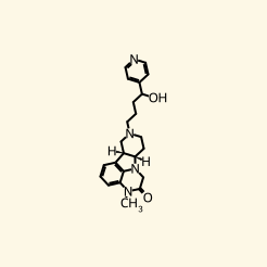 CN1C(=O)CN2c3c(cccc31)[C@@H]1CN(CCCC(O)c3ccncc3)CC[C@@H]12